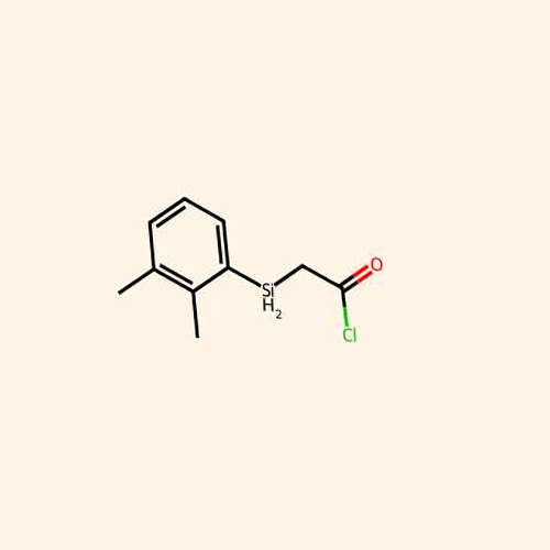 Cc1cccc([SiH2]CC(=O)Cl)c1C